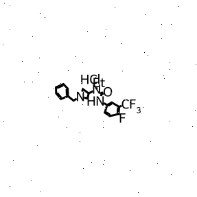 CCN(C(=O)Nc1ccc(F)c(C(F)(F)F)c1)C1CN(Cc2ccccc2)C1.Cl